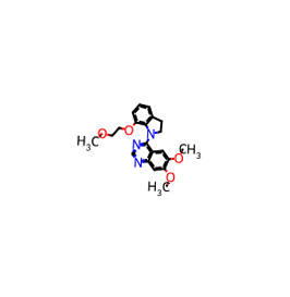 COCCOc1cccc2c1N(c1ncnc3cc(OC)c(OC)cc13)CC2